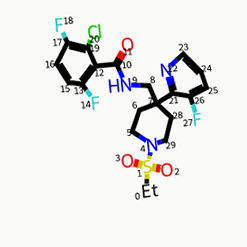 CCS(=O)(=O)N1CCC(CNC(=O)c2c(F)ccc(F)c2Cl)(c2ncccc2F)CC1